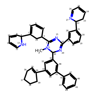 CN1C(C2C=CC=C(C3C=CC=CN3)C2)=NC(c2cccc(C3CC=CC=N3)c2)=NC1c1cc(C2=CCCCC2)cc(-c2ccccc2)c1